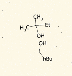 CCC(C)(C)O.CCCCCO